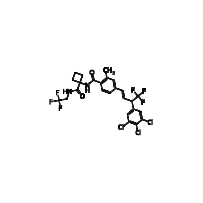 Cc1cc(/C=C/C(c2cc(Cl)c(Cl)c(Cl)c2)C(F)(F)F)ccc1C(=O)NC1(C(=O)NCC(F)(F)F)CCC1